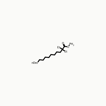 CCCCCCCCCCCCCCCCCCC(CC)(CC)C(=O)OP